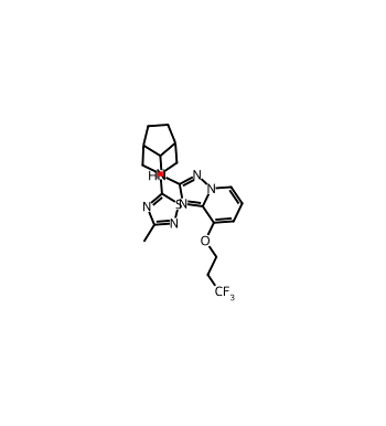 Cc1nsc(N2CC3CCC(C2)C3Nc2nc3c(OCCC(F)(F)F)cccn3n2)n1